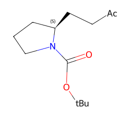 CC(=O)CC[C@@H]1CCCN1C(=O)OC(C)(C)C